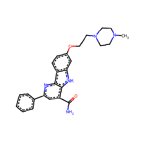 CN1CCN(CCOc2ccc3c(c2)[nH]c2c(C(N)=O)cc(-c4ccccc4)nc23)CC1